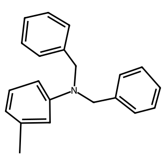 Cc1cccc(N(Cc2ccccc2)Cc2ccccc2)c1